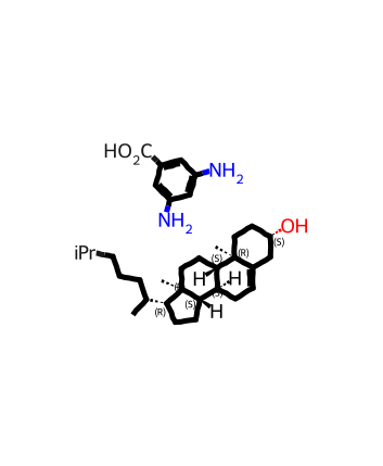 CC(C)CCCC(C)[C@H]1CC[C@H]2[C@@H]3CC=C4C[C@@H](O)CC[C@]4(C)[C@H]3CC[C@]12C.Nc1cc(N)cc(C(=O)O)c1